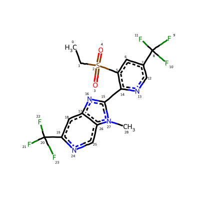 CCS(=O)(=O)c1cc(C(F)(F)F)cnc1-c1nc2cc(C(F)(F)F)ncc2n1C